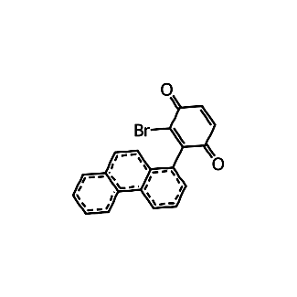 O=C1C=CC(=O)C(c2cccc3c2ccc2ccccc23)=C1Br